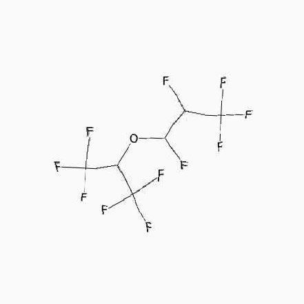 FC(OC(C(F)(F)F)C(F)(F)F)C(F)C(F)(F)F